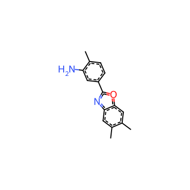 Cc1cc2nc(-c3ccc(C)c(N)c3)oc2cc1C